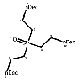 CCCCCCCCCCCCP(=O)(CCCCCCCCCCCC)CCCCCCCCCCCC